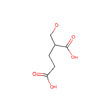 [O]CC(CCC(=O)O)C(=O)O